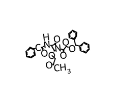 CC(=O)CO[C@@H]1[C@H](NC(=O)Cc2ccccc2)C(=O)N1C(=O)C(=O)OC(c1ccccc1)c1ccccc1